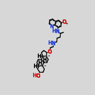 COc1cc(NC(C)CCCNCCO[C@H]2CC[C@H]3[C@@H]4CC[C@H]5C[C@@H](O)CC[C@]5(C)[C@H]4CC[C@]23C)c2ncccc2c1